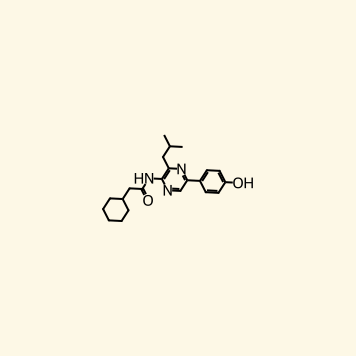 CC(C)Cc1nc(-c2ccc(O)cc2)cnc1NC(=O)CC1CCCCC1